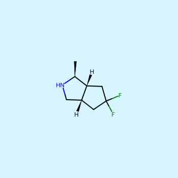 C[C@@H]1NC[C@H]2CC(F)(F)C[C@H]21